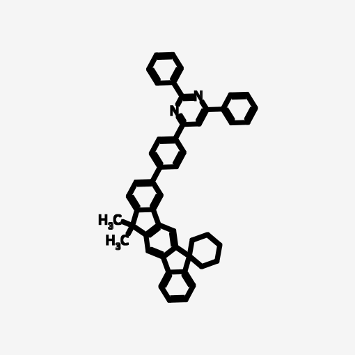 CC1(C)c2ccc(-c3ccc(-c4cc(-c5ccccc5)nc(-c5ccccc5)n4)cc3)cc2-c2cc3c(cc21)-c1ccccc1C31CCCCC1